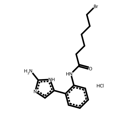 Cl.Nc1ncc(-c2ccccc2NC(=O)CCCCCBr)[nH]1